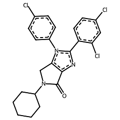 O=C1c2nc(-c3ccc(Cl)cc3Cl)n(-c3ccc(Cl)cc3)c2CN1C1CCCCC1